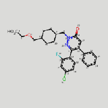 O=C(O)COC[C@H]1CC[C@@H](Cn2nc(-c3ccc(Cl)cc3F)c(-c3ccccc3)cc2=O)CC1